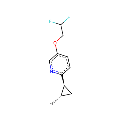 CC[C@H]1C[C@@H]1c1ccc(OCC(F)F)cn1